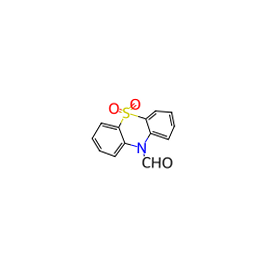 O=CN1c2ccccc2S(=O)(=O)c2ccccc21